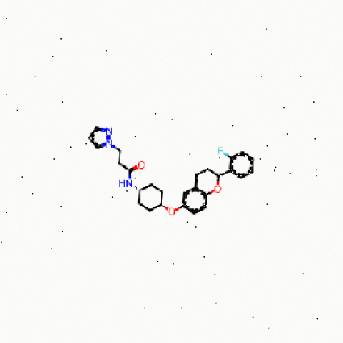 O=C(CCn1cccn1)N[C@H]1CC[C@H](Oc2ccc3c(c2)CCC(c2ccccc2F)O3)CC1